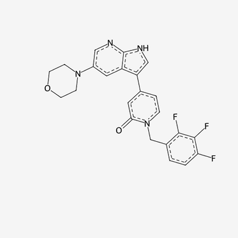 O=c1cc(-c2c[nH]c3ncc(N4CCOCC4)cc23)ccn1Cc1ccc(F)c(F)c1F